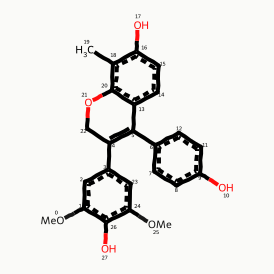 COc1cc(C2=C(c3ccc(O)cc3)c3ccc(O)c(C)c3OC2)cc(OC)c1O